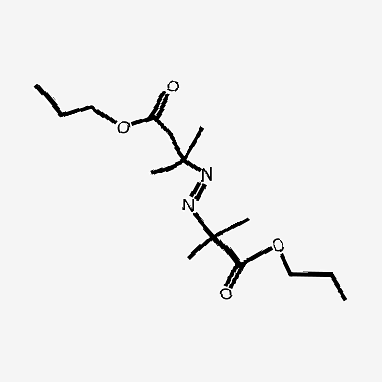 CCCOC(=O)C(C)(C)/N=N/C(C)(C)C(=O)OCCC